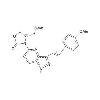 COC[C@H]1COC(=O)N1c1ccc2[nH]nc(/C=C/c3ccc(OC)cc3)c2n1